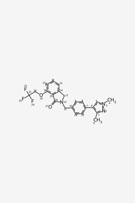 Cc1nn(C)cc1-c1ccc(CN2Cc3ccnc(OCC(F)(F)F)c3C2=O)cc1